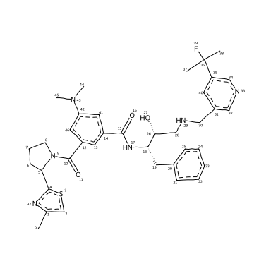 Cc1csc(C2CCCN2C(=O)c2cc(C(=O)N[C@@H](Cc3ccccc3)[C@H](O)CNCc3cncc(C(C)(C)F)c3)cc(N(C)C)c2)n1